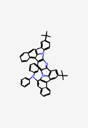 CC(C)(C)c1ccc2c(c1)c1cc3ccccc3c3c4cc5c(nc4n2c13)c1cc(C(C)(C)C)cc2c3c4ccccc4cc(N(c4ccccc4)c4ccccc4)c3n5c12